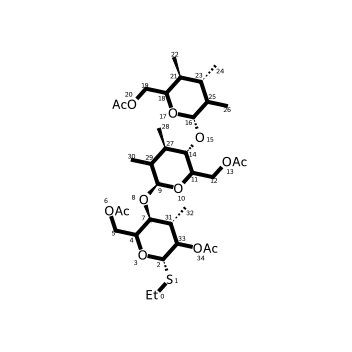 CCS[C@@H]1OC(COC(C)=O)[C@@H](O[C@@H]2OC(COC(C)=O)[C@@H](O[C@@H]3OC(COC(C)=O)[C@@H](C)[C@H](C)C3C)[C@H](C)C2C)[C@H](C)C1OC(C)=O